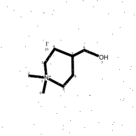 C[N+]1(C)CCC(CO)CC1.[I-]